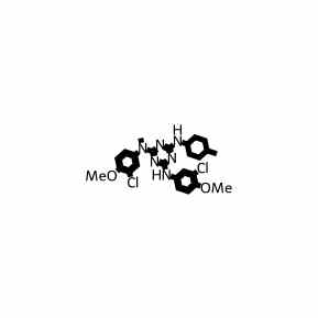 COc1ccc(Nc2nc(NC3CCC(C)CC3)nc(N(C)c3ccc(OC)c(Cl)c3)n2)cc1Cl